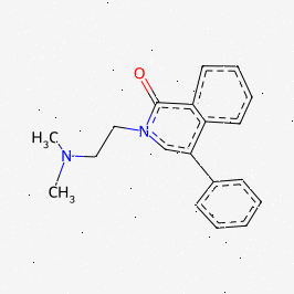 CN(C)CCn1cc(-c2ccccc2)c2ccccc2c1=O